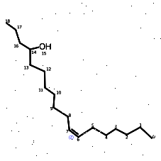 CCCCCC/C=C\CCCCCCC(O)CCC